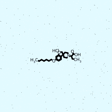 CCCCCCCOc1ccc2c(c1)OCC21CCN(C(CC)C(=O)O)CC1.Cl